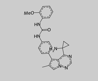 COc1ccccc1NC(=O)Nc1ccc(-c2c(C)cn3ncnc(C4(N)CC4)c23)cc1